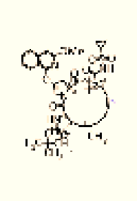 COc1cc2ccccc2c(O[C@@H]2C[C@H]3C(=O)N[C@]4(C(=O)NS(=O)(=O)C5CC5)CC4/C=C\CC[C@@H](C)C[C@@H](C)[C@H](NC(=O)OC(C)(C)C(F)(F)F)C(=O)N3C2)n1